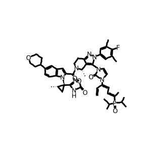 C=C/C(=C\C=C(/C)P(=O)(C(C)C)C(C)C)n1ccn(-c2c3c(nn2-c2cc(C)c(F)c(C)c2)CCN(C(=O)c2cc4cc(C5CCOCC5)ccc4n2[C@@]2(c4noc(=O)[nH]4)C[C@@H]2C)[C@H]3C)c1=O